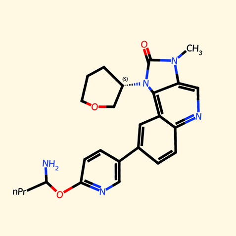 CCCC(N)Oc1ccc(-c2ccc3ncc4c(c3c2)n([C@H]2CCCOC2)c(=O)n4C)cn1